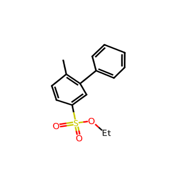 CCOS(=O)(=O)c1ccc(C)c(-c2ccccc2)c1